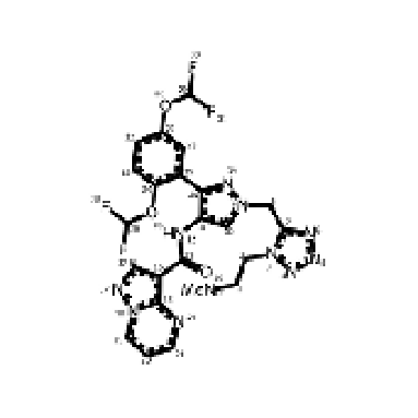 CNCCn1nnnc1Cn1cc(NC(=O)c2cnn3cccnc23)c(-c2cc(OC(F)F)ccc2OC(F)F)n1